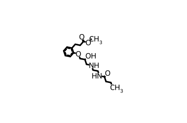 CCCC(=O)NCCNCC(O)COc1ccccc1CCC(=O)OC